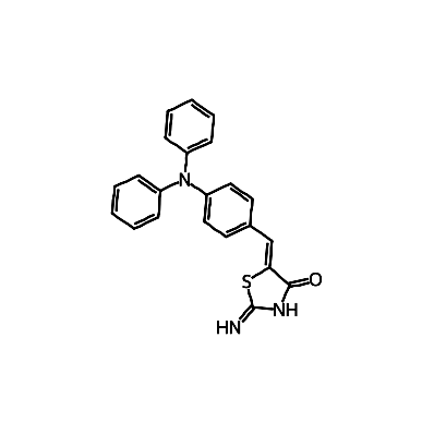 N=C1NC(=O)C(=Cc2ccc(N(c3ccccc3)c3ccccc3)cc2)S1